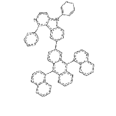 C1=CC(n2c3ccc(-c4ccc5c(-c6cccc7ccccc67)c6ccccc6c(-c6cccc7ccccc67)c5c4)cc3c3c(-c4ccccc4)nccc32)=CCC1